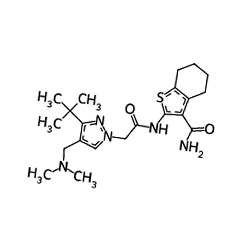 CN(C)Cc1cn(CC(=O)Nc2sc3c(c2C(N)=O)CCCC3)nc1C(C)(C)C